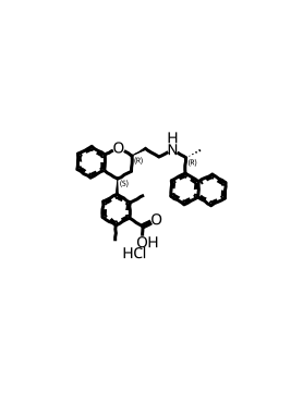 Cc1ccc([C@@H]2C[C@H](CCN[C@H](C)c3cccc4ccccc34)Oc3ccccc32)c(C)c1C(=O)O.Cl